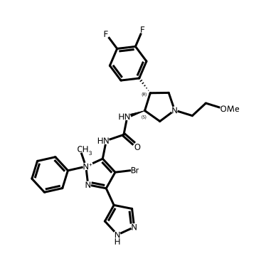 COCCN1C[C@@H](NC(=O)NC2=C(Br)C(c3cn[nH]c3)=N[N+]2(C)c2ccccc2)[C@H](c2ccc(F)c(F)c2)C1